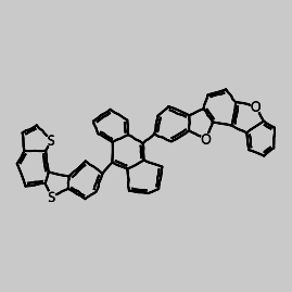 c1ccc2c(c1)oc1ccc3c4ccc(-c5c6ccccc6c(-c6ccc7sc8ccc9ccsc9c8c7c6)c6ccccc56)cc4oc3c12